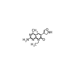 CCn1c(=O)c(C2=CONC2)cc2c(C)nc(N)nc21